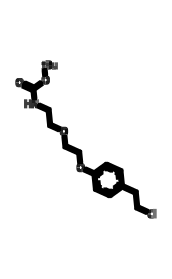 CC(C)(C)OC(=O)NCCOCCOc1ccc(CCCl)cc1